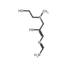 CN(CCO)C/C(S)=C/N=C/N